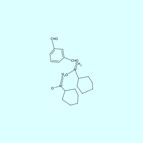 C=[N+]([O-])C1CCCCC1.C=[N+]([O-])C1CCCCC1.O=Cc1cccc(C=O)c1